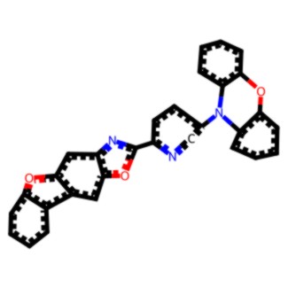 c1ccc2c(c1)Oc1ccccc1N2c1ccc(-c2nc3cc4oc5ccccc5c4cc3o2)nc1